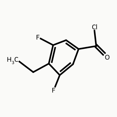 CCc1c(F)cc(C(=O)Cl)cc1F